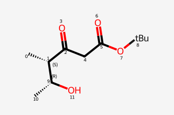 C[C@H](C(=O)CC(=O)OC(C)(C)C)[C@@H](C)O